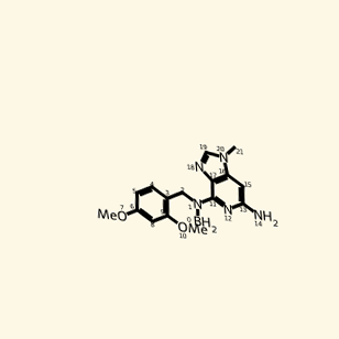 BN(Cc1ccc(OC)cc1OC)c1nc(N)cc2c1ncn2C